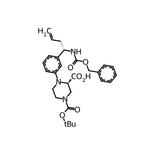 C=CC[C@H](NC(=O)OCc1ccccc1)c1cccc(N2CCN(C(=O)OC(C)(C)C)C[C@@H]2C(=O)O)c1